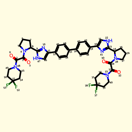 O=C(C(=O)N1CCCC1c1nc(-c2ccc(-c3ccc(-c4c[nH]c(C5CCCN5C(=O)C(=O)N5CCC(F)(F)CC5)n4)cc3)cc2)c[nH]1)N1CCC(F)(F)CC1